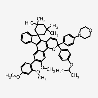 COc1ccc(-c2cc3c4c(c5c(c3cc2OC)OC(c2ccc(OC(C)C)cc2)(c2ccc(N3CCOCC3)cc2)C=C5)C2(CC(C)(C)CC(C)(C)C2)c2ccccc2-4)c(OC)c1